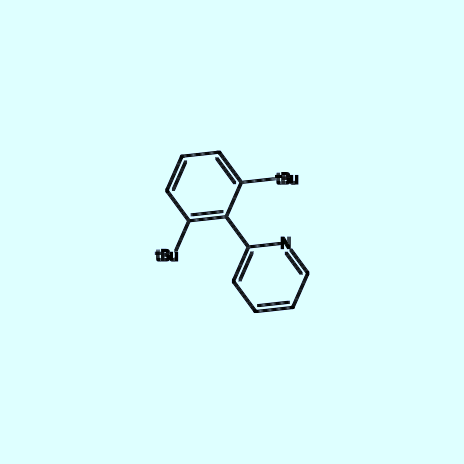 CC(C)(C)c1cccc(C(C)(C)C)c1-c1ccccn1